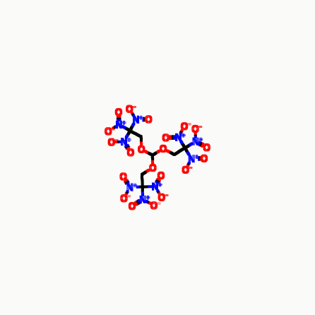 O=[N+]([O-])C(COC(OCC([N+](=O)[O-])([N+](=O)[O-])[N+](=O)[O-])OCC([N+](=O)[O-])([N+](=O)[O-])[N+](=O)[O-])([N+](=O)[O-])[N+](=O)[O-]